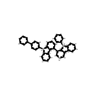 c1ccc(-c2ccc(-n3c4ccccc4c4c(-c5cncc6c7ccccc7n(-c7ccccc7)c56)cccc43)cc2)cc1